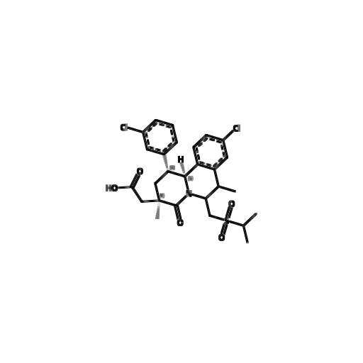 CC1c2cc(Cl)ccc2[C@@H]2[C@@H](c3cccc(Cl)c3)C[C@](C)(CC(=O)O)C(=O)N2C1CS(=O)(=O)C(C)C